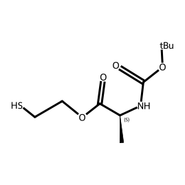 C[C@H](NC(=O)OC(C)(C)C)C(=O)OCCS